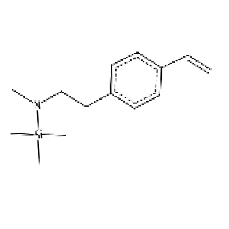 C=Cc1ccc(CCN(C)[Si](C)(C)C)cc1